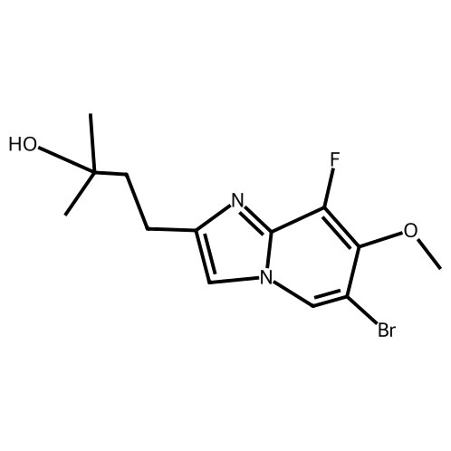 COc1c(Br)cn2cc(CCC(C)(C)O)nc2c1F